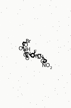 O=C(NC[C@H]1CN(c2ccc(N3CCN(Cc4ccc([N+](=O)[O-])o4)CC3)c(F)c2)C(=O)O1)c1ccc(Br)o1